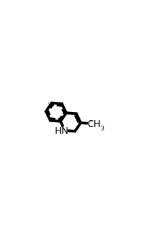 CC1=Cc2c[c]ccc2NC1